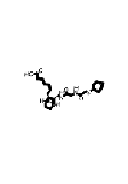 O=C(O)CCC/C=C\C[C@H]1[C@@H](CNC(=O)CNC(=O)CSc2ccccc2)[C@H]2CC[C@@H]1S2